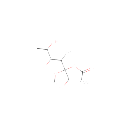 CCOC(CO)(OC(=O)NC)C(OC(C)=O)C(O)C(C)O